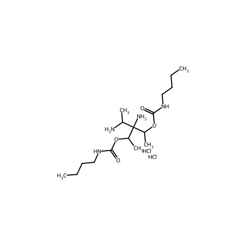 CCCCNC(=O)OC(C)C(N)(C(C)N)C(C)OC(=O)NCCCC.Cl.Cl